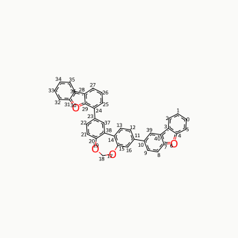 c1ccc2c(c1)oc1ccc(-c3ccc4c(c3)OCOc3ccc(-c5cccc6c5oc5ccccc56)cc3-4)cc12